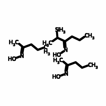 CCCC(=NO)C(C)[SiH3].CCCC(C)=NO.CCCC(C)=NO